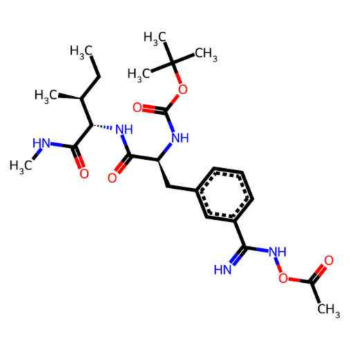 CC[C@H](C)[C@H](NC(=O)[C@H](Cc1cccc(C(=N)NOC(C)=O)c1)NC(=O)OC(C)(C)C)C(=O)NC